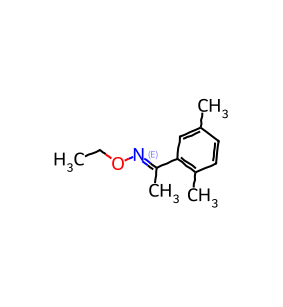 CCO/N=C(\C)c1cc(C)ccc1C